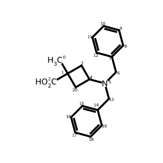 CC1(C(=O)O)CC(N(Cc2ccccc2)Cc2ccccc2)C1